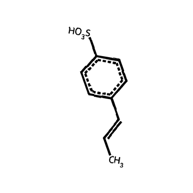 CC=Cc1ccc(S(=O)(=O)O)cc1